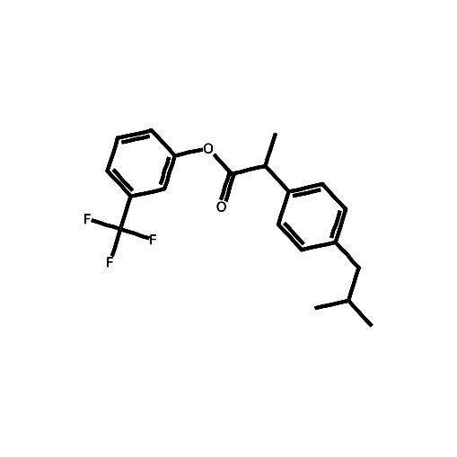 CC(C)Cc1ccc(C(C)C(=O)Oc2cccc(C(F)(F)F)c2)cc1